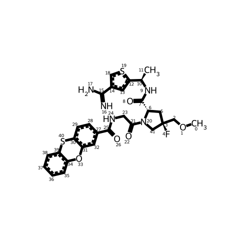 COC[C@@]1(F)C[C@@H](C(=O)N[C@H](C)c2cc(C(=N)N)cs2)N(C(=O)CNC(=O)c2ccc3c(c2)Oc2ccccc2S3)C1